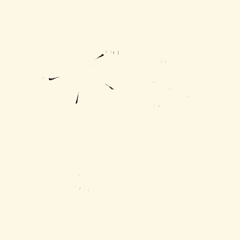 [CH2]COC(=O)CCC/C=C\C[C@@H]1[C@H](/C=C/C[C@H](O)C2(CC)CCC2)[C@H](O)C[C@@H]1Cl